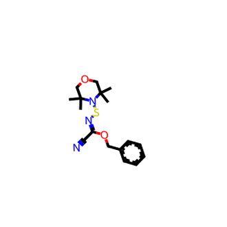 CC1(C)COCC(C)(C)N1SN=C(C#N)OCc1ccccc1